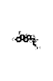 C[C@@H]1C[C@H]2[C@@H]3C[C@H](F)C4=CC(=O)C=C[C@]4(C)[C@@]3(F)CC[C@]2(C)[C@@]1(OC(=O)CCO)C(O)=S